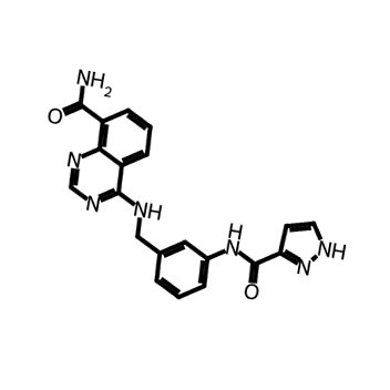 NC(=O)c1cccc2c(NCc3cccc(NC(=O)c4cc[nH]n4)c3)ncnc12